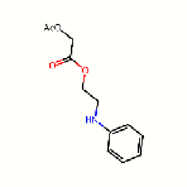 CC(=O)OCC(=O)OCCNc1ccccc1